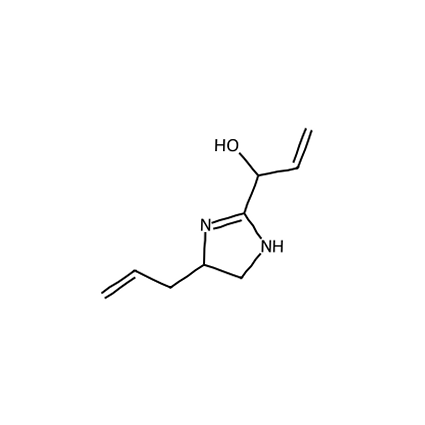 C=CCC1CNC(C(O)C=C)=N1